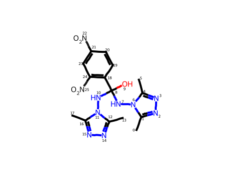 Cc1nnc(C)n1NC(O)(Nn1c(C)nnc1C)c1ccc([N+](=O)[O-])cc1[N+](=O)[O-]